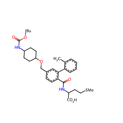 CSCCC(NC(=O)c1ccc(COC2CCC(NC(=O)OC(C)(C)C)CC2)cc1-c1ccccc1C)C(=O)O